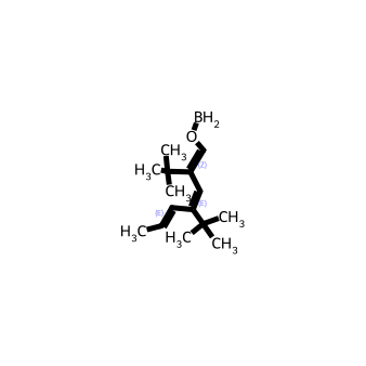 BO/C=C(/C=C(\C=C\C)C(C)(C)C)C(C)(C)C